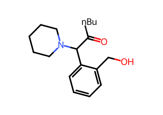 CCCCC(=O)C(c1ccccc1CO)N1CCCCC1